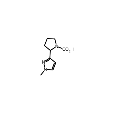 Cn1ccc(C2CCCN2C(=O)O)n1